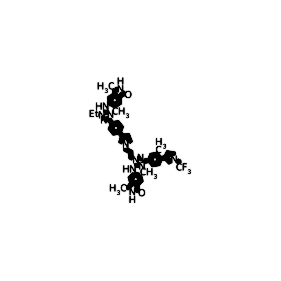 CCn1nc(-c2ccc(-c3ccn(CCCn4nc(-c5ccc(-c6ccn(CC(F)(F)F)c6)c(C)c5)nc4Nc4cc5c(cc4C)C(=O)NC5C)c3)cc2)nc1Nc1cc2c(cc1C)C(=O)NC2C